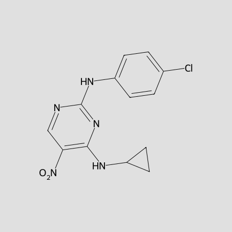 O=[N+]([O-])c1cnc(Nc2ccc(Cl)cc2)nc1NC1CC1